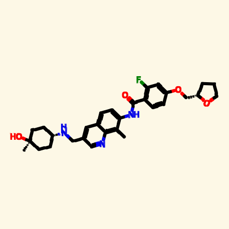 Cc1c(NC(=O)c2ccc(OC[C@@H]3CCCO3)cc2F)ccc2cc(CN[C@H]3CC[C@](C)(O)CC3)cnc12